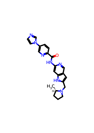 C[C@H]1CCCN1Cc1cc2cnc(NC(=O)c3ccc(-n4ccnc4)cn3)cc2[nH]1